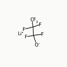 [Li+].[O-]C(F)(F)C(F)(F)C(F)(F)F